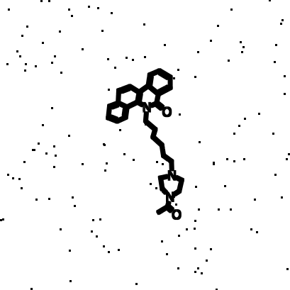 CC(=O)N1CCN(CCCCCCn2c(=O)c3ccccc3c3ccc4ccccc4c32)CC1